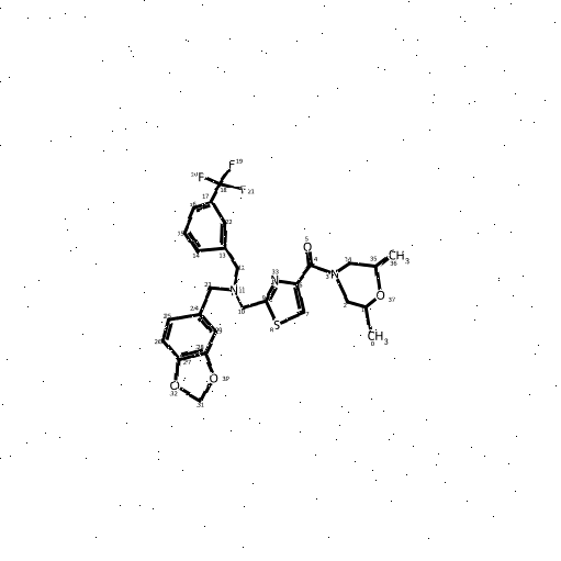 CC1CN(C(=O)c2csc(CN(Cc3cccc(C(F)(F)F)c3)Cc3ccc4c(c3)OCO4)n2)CC(C)O1